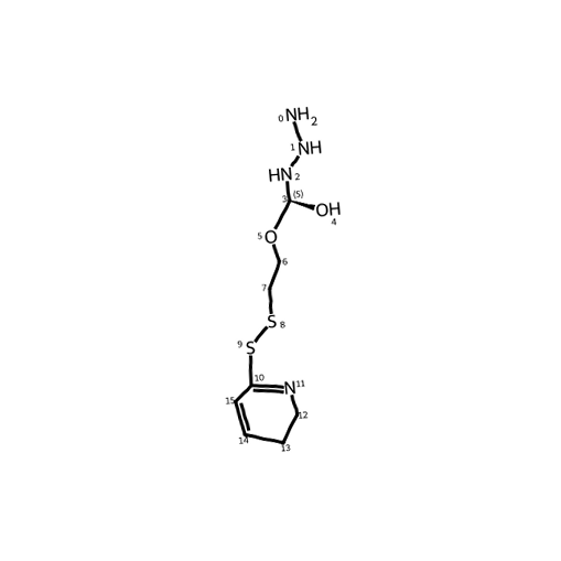 NNN[C@@H](O)OCCSSC1=NCCC=C1